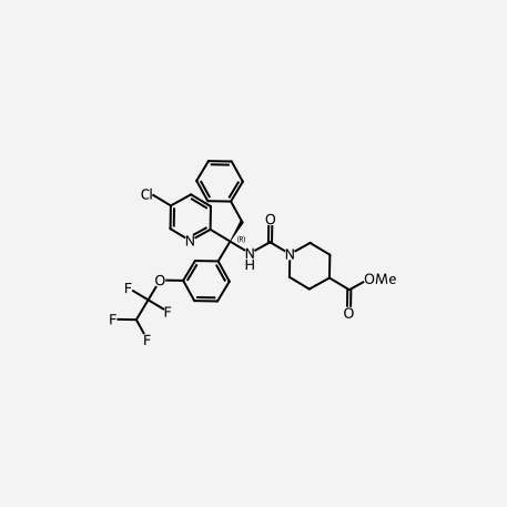 COC(=O)C1CCN(C(=O)N[C@](Cc2ccccc2)(c2cccc(OC(F)(F)C(F)F)c2)c2ccc(Cl)cn2)CC1